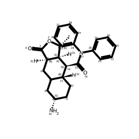 C[C@H]1OC(=O)[C@@H]2CC3C[C@@H](N)CC[C@H]3[C@H](C(=O)N(c3ccccc3)c3ccccc3)[C@H]12